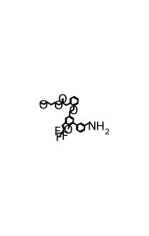 COCCCOC(=O)Cc1ccccc1OCc1cc(-c2cccc(CN)c2)c2oc(C(F)(F)F)cc2c1